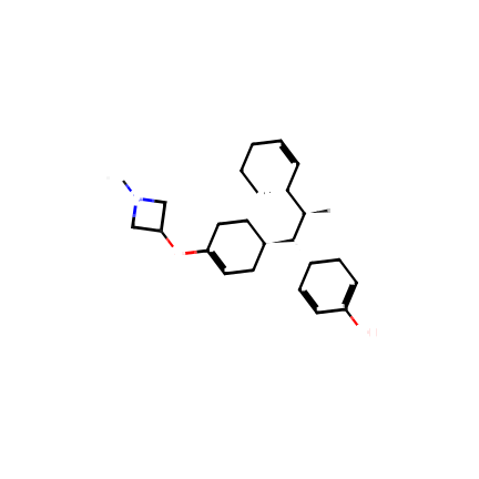 CCCN1CC(OC2=CC[C@H](C([C@H]3C=CC(O)=CC3)[C@H](CC)[C@H]3C=CCCC3)CC2)C1